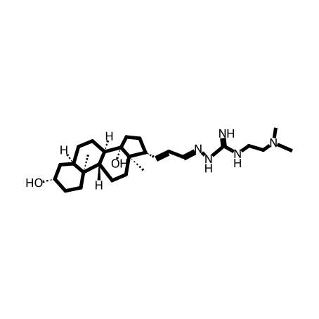 CN(C)CCNC(=N)N/N=C/C=C/[C@H]1CC[C@]2(O)[C@@H]3CC[C@@H]4C[C@@H](O)CC[C@]4(C)[C@H]3CC[C@]12C